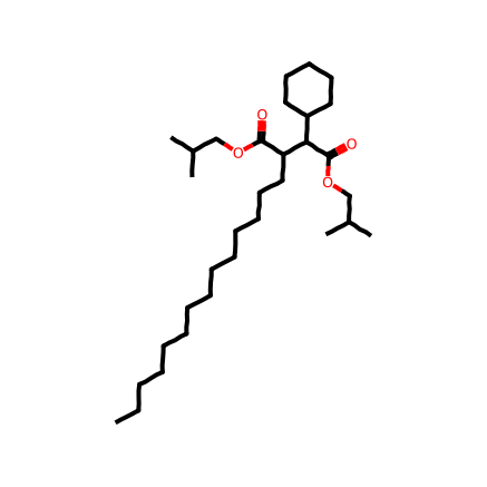 CCCCCCCCCCCCCCC(C(=O)OCC(C)C)C(C(=O)OCC(C)C)C1CCCCC1